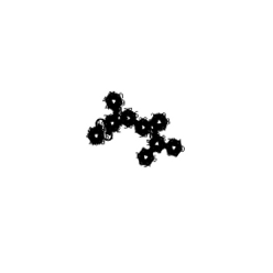 c1ccc(-c2cc(-c3ccccc3)cc(-n3c4ccccc4c4cc(-c5ccc6c(c5)c5cc7c(cc5n6-c5ccccc5)Oc5ccccc5O7)ccc43)c2)cc1